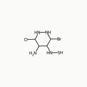 NC1C(Cl)NNC(Br)C1NS